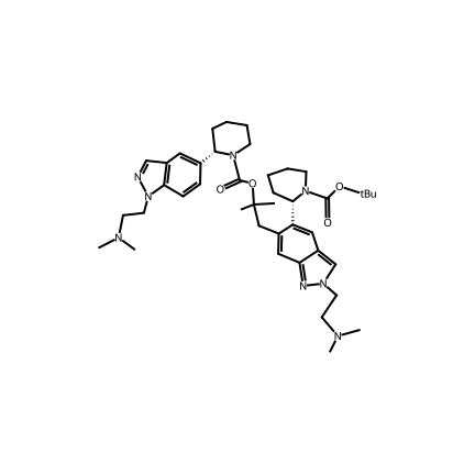 CN(C)CCn1cc2cc([C@@H]3CCCCN3C(=O)OC(C)(C)C)c(CC(C)(C)OC(=O)N3CCCC[C@H]3c3ccc4c(cnn4CCN(C)C)c3)cc2n1